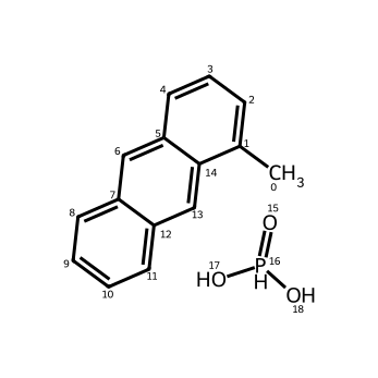 Cc1cccc2cc3ccccc3cc12.O=[PH](O)O